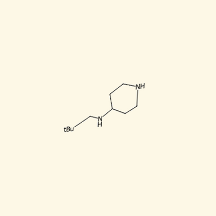 CC(C)(C)CNC1CCNCC1